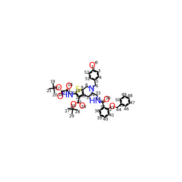 COc1ccc(CN2Cc3sc(NC(=O)C(=O)OC(C)(C)C)c(C(=O)OC(C)(C)C)c3CC2CNC(=O)c2ccccc2OCc2ccccc2)cc1